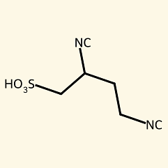 [C-]#[N+]CCC(CS(=O)(=O)O)[N+]#[C-]